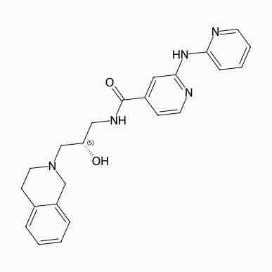 O=C(NC[C@H](O)CN1CCc2ccccc2C1)c1ccnc(Nc2ccccn2)c1